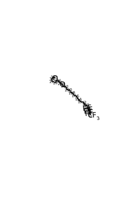 FC(F)(F)C(F)(F)C(F)(F)C(F)(F)CCCCCCCCCCCCCCOCCC1CCCCO1